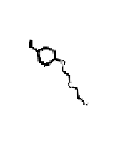 CCC1CCC(OCCOCC[O])CC1